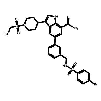 CCS(=O)(=O)N1CCC(c2c[nH]c3c(C(N)=O)cc(-c4cccc(CNS(=O)(=O)c5ccc(Br)cc5)c4)cc23)CC1